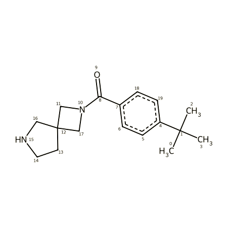 CC(C)(C)c1ccc(C(=O)N2CC3(CCNC3)C2)cc1